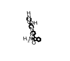 NN1C(=O)c2ccccc2C1c1ccc(N2CCC(O)(CN3CCNCC3)CC2)cn1